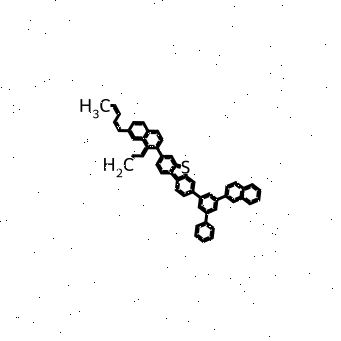 C=C/C=c1/c(-c2ccc3c(c2)sc2cc(-c4cc(-c5ccccc5)cc(-c5ccc6ccccc6c5)c4)ccc23)ccc2c1=C=C(/C=C\C=C/C)C=C2